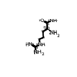 [NH]C(=O)[C@@H](N)CCCNC(=N)N